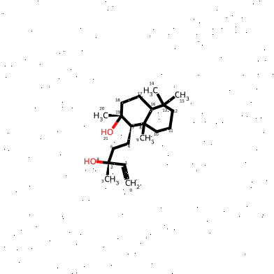 C=C[C@](C)(O)CC[C@@H]1C2(C)CCCC(C)(C)C2CC[C@@]1(C)O